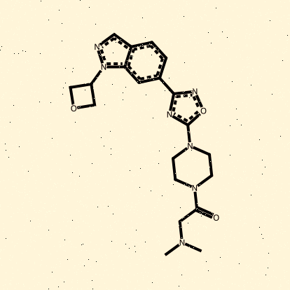 CN(C)CC(=O)N1CCN(c2nc(-c3ccc4cnn(C5COC5)c4c3)no2)CC1